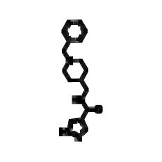 O=C(NCC1CCN(Cc2ccccc2)CC1)c1cn[nH]c1